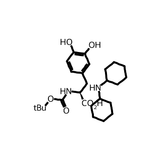 C1CCC(NC2CCCCC2)CC1.CC(C)(C)OC(=O)N[C@@H](Cc1ccc(O)c(O)c1)C(=O)O